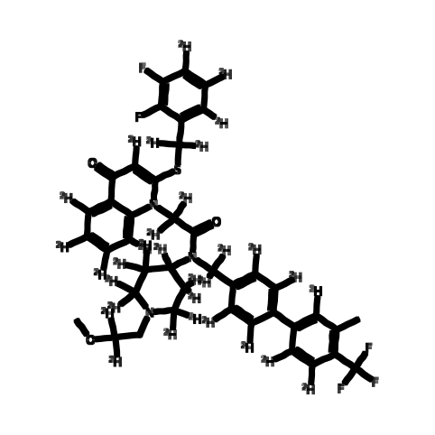 [2H]c1c([2H])c(F)c(F)c(C([2H])([2H])Sc2c([2H])c(=O)c3c([2H])c([2H])c([2H])c([2H])c3n2C([2H])([2H])C(=O)N(C([2H])([2H])c2c([2H])c([2H])c(-c3c([2H])c([2H])c(C(F)(F)F)c(C)c3[2H])c([2H])c2[2H])C2([2H])C([2H])([2H])C([2H])([2H])N(CC([2H])([2H])OC)C([2H])([2H])C2([2H])[2H])c1[2H]